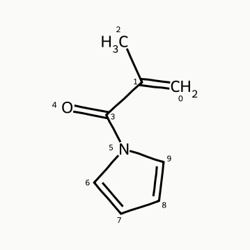 C=C(C)C(=O)n1cccc1